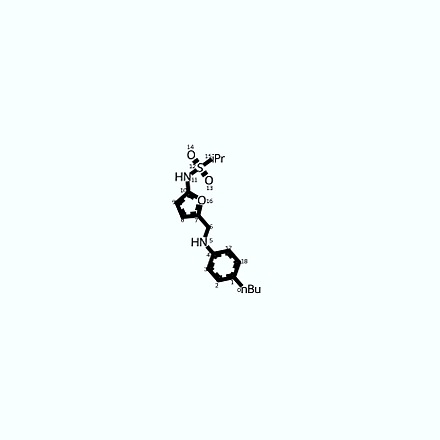 CCCCc1ccc(NCc2ccc(NS(=O)(=O)C(C)C)o2)cc1